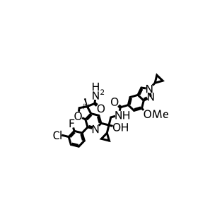 COc1cc(C(=O)NCC(O)(c2cc3c(c(-c4cccc(Cl)c4F)n2)OC[C@]3(C)C(N)=O)C2CC2)cc2cn(C3CC3)nc12